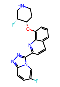 Fc1ccc2nnc(-c3ccc4cccc(O[C@H]5CCNC[C@H]5F)c4n3)n2c1